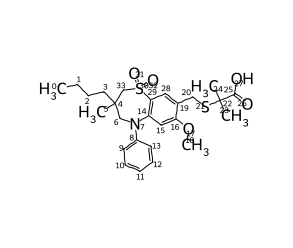 CCCCC1(C)CN(c2ccccc2)c2cc(OC)c(CSC(C)(C)C(=O)O)cc2S(=O)(=O)C1